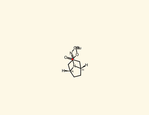 CC(C)(C)OC(=O)N1[C@@H]2CC[C@H]1CC(=NO)C2